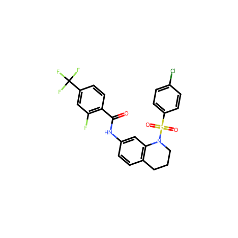 O=C(Nc1ccc2c(c1)N(S(=O)(=O)c1ccc(Cl)cc1)CCC2)c1ccc(C(F)(F)F)cc1F